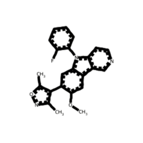 COc1cc2c3cnccc3n(-c3ccccc3F)c2cc1-c1c(C)noc1C